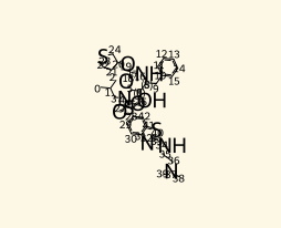 CC(C)CN(C[C@@H](O)[C@H](Cc1ccccc1)NC(=O)OC1CCSC1)S(=O)(=O)c1ccc2nc(NCCN(C)C)sc2c1